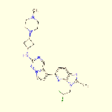 Cc1nc2ccc(-c3ccn4nc(N[C@H]5C[C@H](N6CCN(C)CC6)C5)ncc34)nc2n1CC(F)F